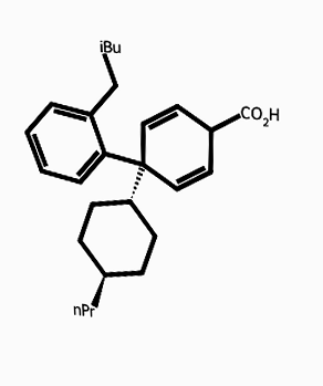 CCC[C@H]1CC[C@H](C2(c3ccccc3CC(C)CC)C=CC(C(=O)O)C=C2)CC1